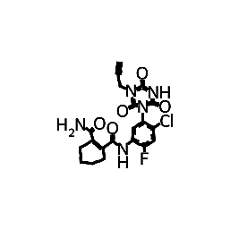 C#CCn1c(=O)[nH]c(=O)n(-c2cc(NC(=O)C3=C(C(N)=O)CCCC3)c(F)cc2Cl)c1=O